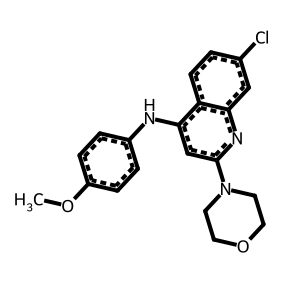 COc1ccc(Nc2cc(N3CCOCC3)nc3cc(Cl)ccc23)cc1